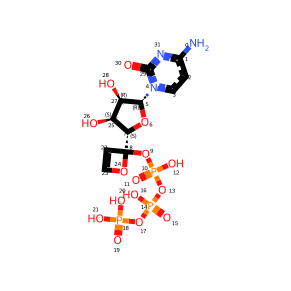 Nc1ccn([C@@H]2O[C@H](C3(OP(=O)(O)OP(=O)(O)OP(=O)(O)O)C=CO3)[C@@H](O)[C@H]2O)c(=O)n1